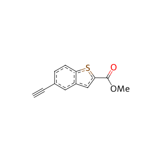 C#Cc1ccc2sc(C(=O)OC)cc2c1